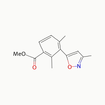 COC(=O)c1ccc(C)c(-c2cc(C)no2)c1C